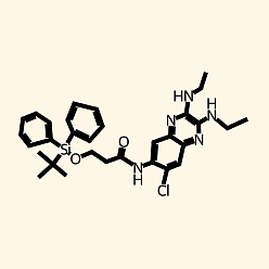 CCNc1nc2cc(Cl)c(NC(=O)CCO[Si](c3ccccc3)(c3ccccc3)C(C)(C)C)cc2nc1NCC